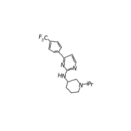 CC(C)N1CCCC(Nc2nccc(-c3ccc(C(F)(F)F)cc3)n2)C1